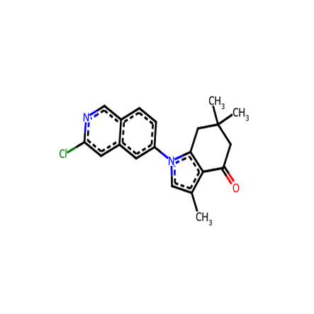 Cc1cn(-c2ccc3cnc(Cl)cc3c2)c2c1C(=O)CC(C)(C)C2